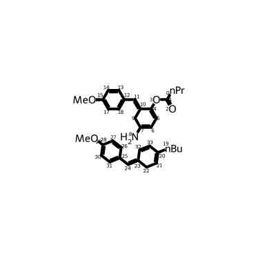 CCCC(=O)OC1=CC=C(N)CC1=Cc1ccc(OC)cc1.CCCCC1=CCC(=Cc2ccc(OC)cc2)C=C1